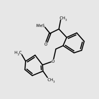 CSC(=O)C(C)c1ccccc1COc1cc(C)ccc1C